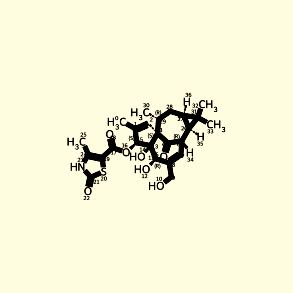 CC1=C[C@]23C(=O)[C@@H](C=C(CO)[C@@H](O)[C@]2(O)[C@H]1OC(=O)c1sc(=O)[nH]c1C)[C@H]1[C@@H](C[C@H]3C)C1(C)C